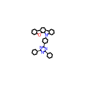 c1ccc(-c2nc(-c3ccccc3)nc(-c3ccc(-n4c5ccccc5c5ccc6c7ccccc7oc6c54)cc3)n2)cc1